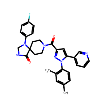 N#Cc1ccc(-n2nc(C(=O)N3CCC4(CC3)C(=O)NCN4c3ccc(F)cc3)cc2-c2cccnc2)c(C(F)(F)F)c1